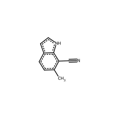 Cc1ccc2cc[nH]c2c1C#N